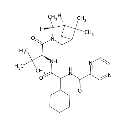 C[C@@H]1[C@@H]2CC(CN1C(=O)[C@@H](NC(=O)C(NC(=O)c1cnccn1)C1CCCCC1)C(C)(C)C)C2(C)C